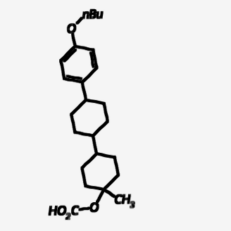 CCCCOc1ccc(C2CCC(C3CCC(C)(OC(=O)O)CC3)CC2)cc1